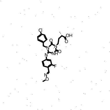 CO/N=C/c1ccc(/N=c2\[nH]c(=O)n(CC[C@H](C)C(=O)O)c(=O)n2Cc2ccc(Cl)cc2)cc1F